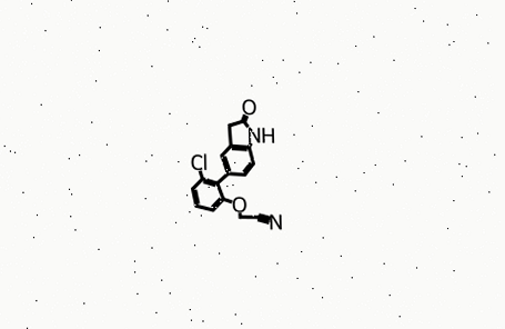 N#CCOc1cccc(Cl)c1-c1ccc2c(c1)CC(=O)N2